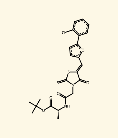 C[C@H](NC(=O)CN1C(=O)/C(=C/c2ccc(-c3ccccc3Cl)o2)SC1=S)C(=O)OC(C)(C)C